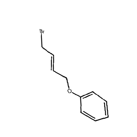 BrCC=CCOc1ccccc1